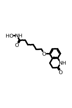 O=C(CCCCCOc1cccc2c1CCC(=O)N2)NO